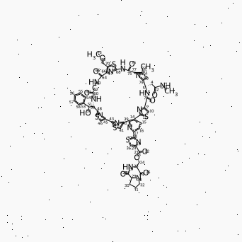 CNC(=O)C[C@@H]1NC(=O)c2csc(n2)-c2ccc(-c3nc(C(=O)OCC4NC(=O)C5CCCN5C4=O)cs3)nc2-c2csc(n2)-c2csc(n2)[C@H]([C@@H](O)c2ccccc2)NC(=O)CNC(=O)c2nc(sc2COC)NC(=O)c2nc1sc2C